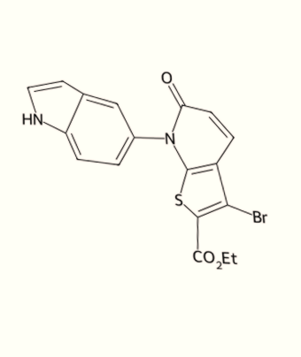 CCOC(=O)c1sc2c(ccc(=O)n2-c2ccc3[nH]ccc3c2)c1Br